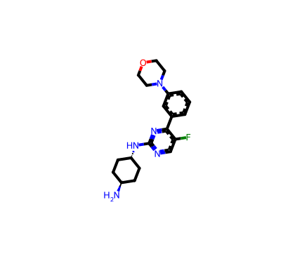 N[C@H]1CC[C@H](Nc2ncc(F)c(-c3cccc(N4CCOCC4)c3)n2)CC1